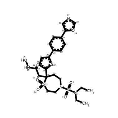 CCN(CC)S(=O)(=O)N1CCC(CC(=O)NO)(c2ccc(-c3ccc(-c4cnco4)cc3)s2)S(=O)(=O)CC1